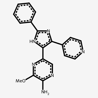 COc1nc(-c2[nH]c(-c3ccccc3)nc2-c2ccncc2)cnc1N